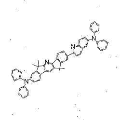 CC1(C)c2cc(-c3ccc4cc(N(c5ccccc5)c5ccccc5)ccc4n3)ccc2-c2nc3c(cc21)-c1ccc(N(c2ccccc2)c2ccccc2)cc1C3(C)C